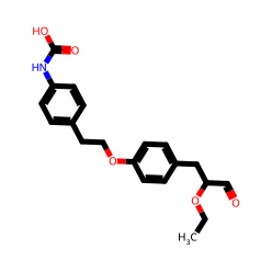 CCOC(C=O)Cc1ccc(OCCc2ccc(NC(=O)O)cc2)cc1